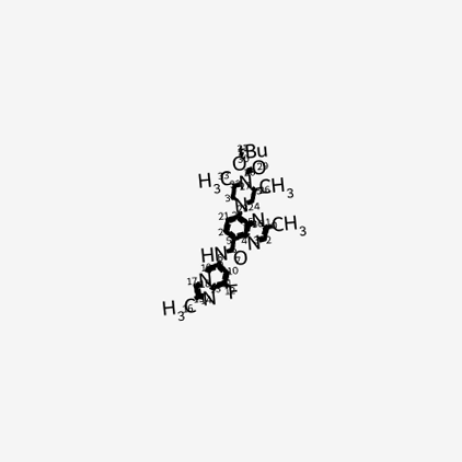 Cc1cnc2c(C(=O)Nc3cc(F)c4nc(C)cn4c3)ccc(N3C[C@@H](C)N(C(=O)OC(C)(C)C)[C@@H](C)C3)c2n1